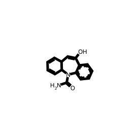 NC(=O)N1c2ccccc2C(O)=CC2C=CC=CC21